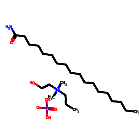 CCCCCCCCCCCCCCCCCC(N)=O.CCC[N+](C)(C)CCO.O=P([O-])(O)O